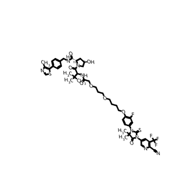 Cc1ncsc1-c1ccc(CNC(=O)[C@@H]2C[C@@H](O)CN2C(=O)C(NC(=O)COCCCOCCCCOc2ccc(N3C(=S)N(c4cnc(C#N)c(C(F)(F)F)c4)C(=O)C3(C)C)cc2F)C(C)(C)C)cc1